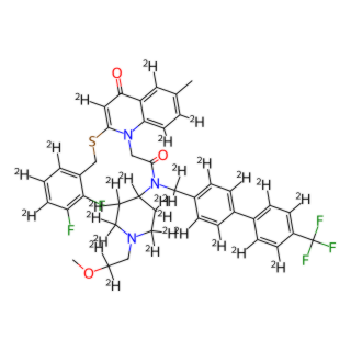 [2H]c1c([2H])c(F)c(F)c(CSc2c([2H])c(=O)c3c([2H])c(C)c([2H])c([2H])c3n2CC(=O)N(C([2H])([2H])c2c([2H])c([2H])c(-c3c([2H])c([2H])c(C(F)(F)F)c([2H])c3[2H])c([2H])c2[2H])C2([2H])C([2H])([2H])C([2H])([2H])N(CC([2H])([2H])OC)C([2H])([2H])C2([2H])[2H])c1[2H]